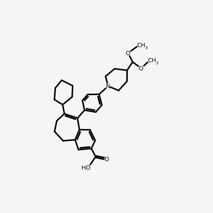 COC(OC)C1CCN(c2ccc(C3=C(C4CCCCC4)CCCc4cc(C(=O)O)ccc43)cc2)CC1